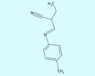 CCC(C#N)/C=N/c1ccc(C)cc1